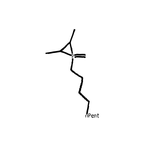 C=P1(CCCCCCCCC)C(C)C1C